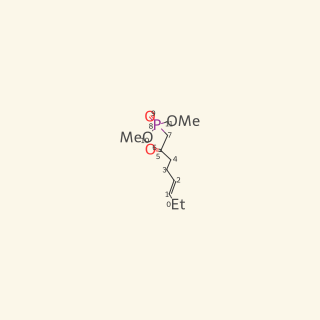 CCC=CCCC(=O)CP(=O)(OC)OC